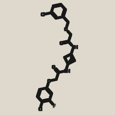 O=C(COCc1cccc(Cl)c1)NC12CC(NC(=O)COc3ccc(Cl)c(F)c3)(C1)C2